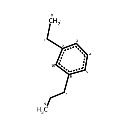 [CH2]Cc1cccc(CCC)c1